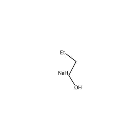 [CH2]CCCO.[NaH]